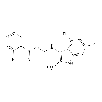 O=C(CCNc1c(C(=O)O)[nH]c2cc(Cl)cc(Cl)c12)c1ccccc1F